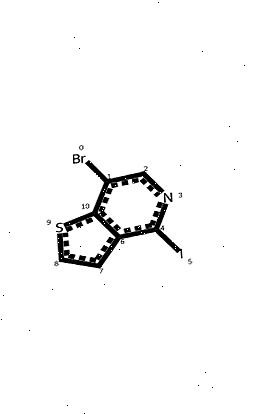 Brc1cnc(I)c2ccsc12